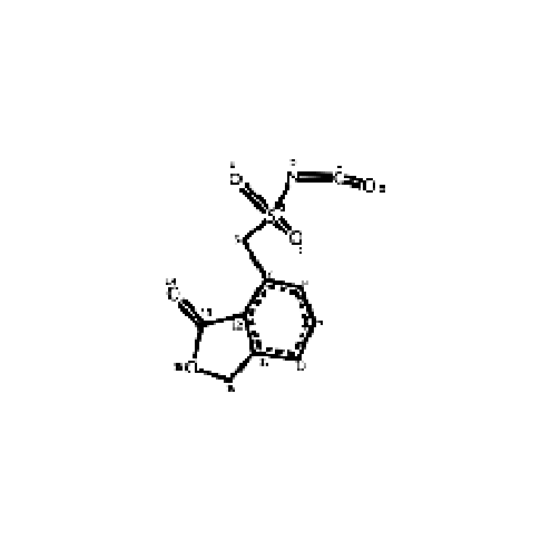 O=C=NS(=O)(=O)Cc1cccc2c1C(=O)OC2